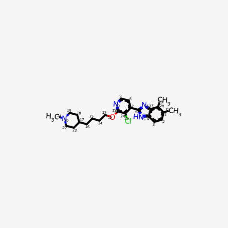 Cc1ccc2[nH]c(-c3ccnc(OCCCCC4CCN(C)CC4)c3Cl)nc2c1C